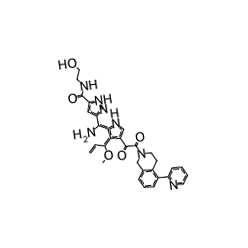 C=C/C(OC)=c1/c(C(=O)C(=O)N2CCc3c(cccc3-c3ccccn3)C2)c[nH]/c1=C(/N)c1cc(C(=O)NCCO)[nH]n1